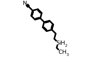 CC[SiH2]CCc1ccc(-c2ccc(C#N)cc2)cc1